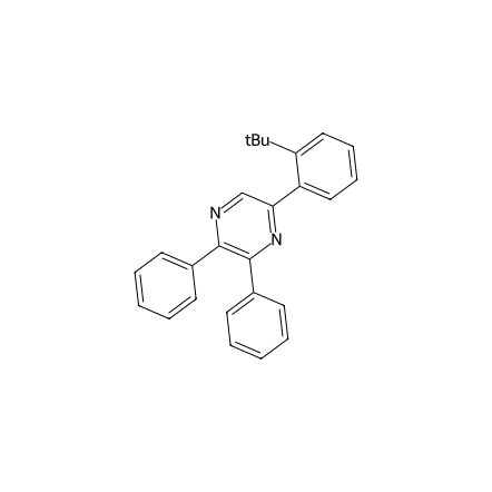 CC(C)(C)c1ccccc1-c1cnc(-c2ccccc2)c(-c2ccccc2)n1